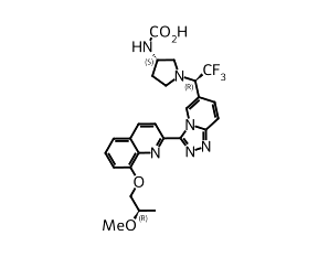 CO[C@H](C)COc1cccc2ccc(-c3nnc4ccc([C@@H](N5CC[C@H](NC(=O)O)C5)C(F)(F)F)cn34)nc12